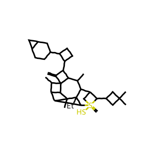 C=C1C(C2CCC2C2CCC3CC3C2)C2C(C)C3C4CS(=C)(S)(C4C4CC(C)(C)C4)C4C5C6C(C)C12C6C5(C)C34CC